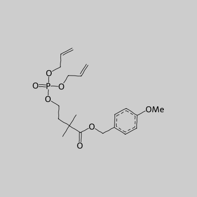 C=CCOP(=O)(OCC=C)OCCC(C)(C)C(=O)OCc1ccc(OC)cc1